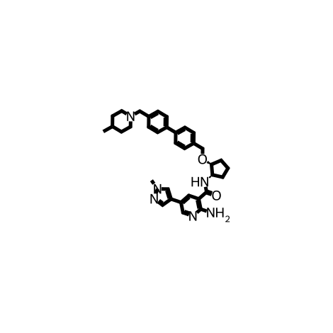 CC1CCN(Cc2ccc(-c3ccc(CO[C@H]4CCC[C@@H]4NC(=O)c4cc(-c5cnn(C)c5)cnc4N)cc3)cc2)CC1